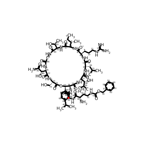 CC[C@H](C)C1NC(=O)[C@@H](CCCNC(=N)N)NC(=O)[C@H](CC(C)C)NC(=O)[C@H]([C@H](O)C(C)C)NC(=O)[C@@H](NC(=O)[C@H](CC(C)C)NC(=O)[C@@H](N)CCNC(=O)OCc2ccccc2)[C@@H](c2ccccc2)OC(=O)[C@H](CO)NC(=O)[C@H]([C@H](O)C(N)=O)NC(=O)CNC(=O)C([C@H](C)O)NC1=O